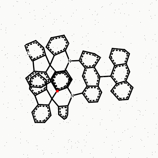 c1ccc2c(c1)-c1ccccc1C21c2ccccc2N(c2cccc3c(-c4c5ccccc5cc5ccccc45)c4cccc(N5c6ccccc6C6(c7ccccc7-c7ccccc76)c6ccccc65)c4cc23)c2ccccc21